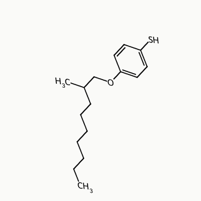 CCCCCCCC(C)COc1ccc(S)cc1